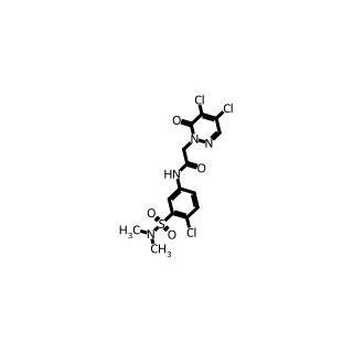 CN(C)S(=O)(=O)c1cc(NC(=O)Cn2ncc(Cl)c(Cl)c2=O)ccc1Cl